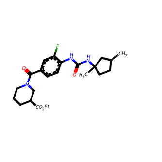 CCOC(=O)C1CCCN(C(=O)c2ccc(NC(=O)NC3(C)CCC(C)C3)c(F)c2)C1